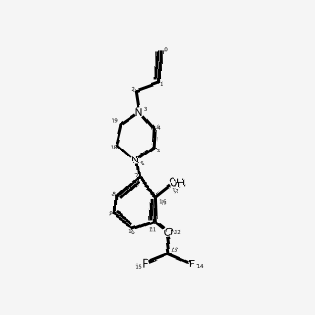 C=CCN1CCN(c2cccc(OC(F)F)c2O)CC1